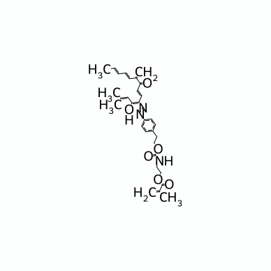 C=C(C)C(=O)OCCNC(=O)OCCc1ccc(/N=N/C(C=CC(=O)C(=C)C=CC=CC)=C(O)C=C(C)C)cc1